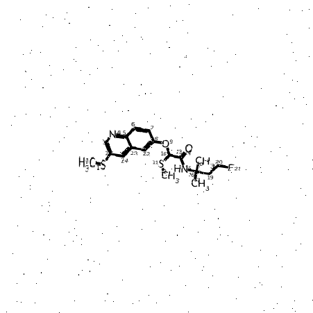 CSc1cnc2ccc(OC(SC)C(=O)NC(C)(C)CCF)cc2c1